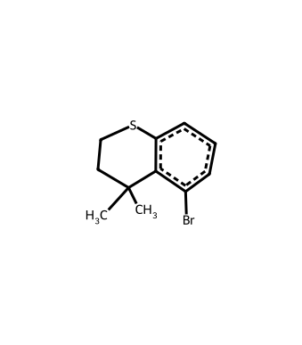 CC1(C)CCSc2cccc(Br)c21